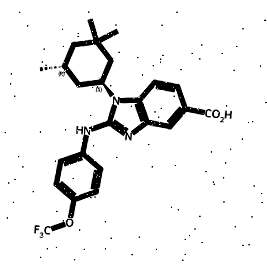 C[C@H]1C[C@H](n2c(Nc3ccc(OC(F)(F)F)cc3)nc3cc(C(=O)O)ccc32)CC(C)(C)C1